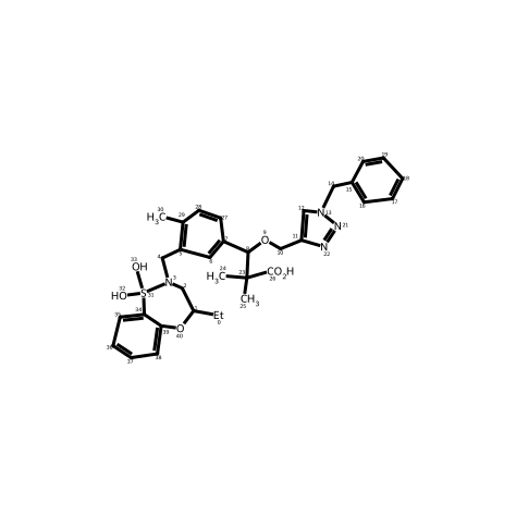 CCC1CN(Cc2cc(C(OCc3cn(Cc4ccccc4)nn3)C(C)(C)C(=O)O)ccc2C)S(O)(O)c2ccccc2O1